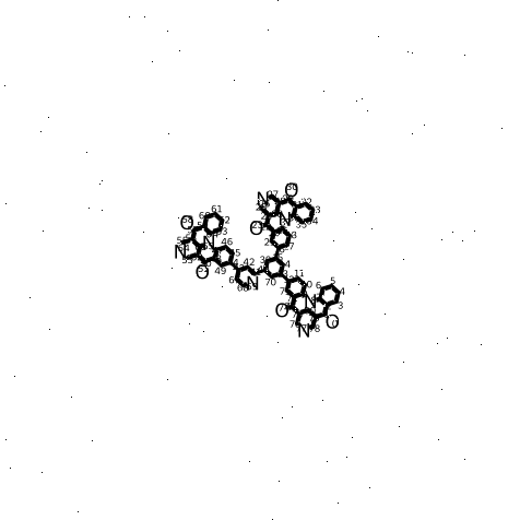 O=c1c2ccccc2n2c3ccc(-c4cc(-c5ccc6c(c5)c(=O)c5cncc7c(=O)c8ccccc8n6c75)cc(-c5cc(-c6ccc7c(c6)c(=O)c6cncc8c(=O)c9ccccc9n7c86)ccn5)c4)cc3c(=O)c3cncc1c32